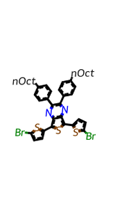 CCCCCCCCc1ccc(-c2nc3c(-c4ccc(Br)s4)sc(-c4ccc(Br)s4)c3nc2-c2ccc(CCCCCCCC)cc2)cc1